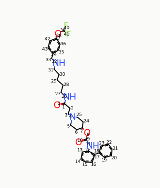 O=C(CCN1CCC(OC(=O)Nc2ccccc2-c2ccccc2)CC1)NCCCCCNCc1ccc(OC(F)F)cc1